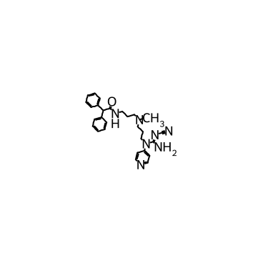 CN(CCCNC(=O)C(c1ccccc1)c1ccccc1)CCCN(C(N)=NC#N)c1ccncc1